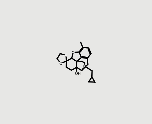 Cc1ccc2c3c1OC1C4(CCC5(O)C(C2)N(CC2CC2)CC[C@]315)OCCO4